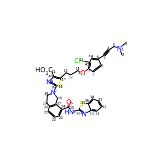 CN(C)CC#Cc1ccc(OCCCc2sc(N3CCc4cccc(C(=O)Nc5nc6ccccc6s5)c4C3)nc2C(=O)O)c(Cl)c1